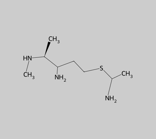 CN[C@@H](C)C(N)CCSC(C)N